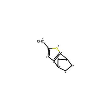 O=Cc1cc2c(s1)C1CCC2C1